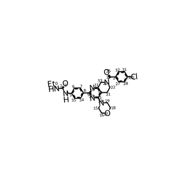 CCNC(=O)Nc1ccc(-c2nc3c(c(N4CCOCC4)n2)CCN(C(=O)c2ccc(Cl)cc2)C3)cc1